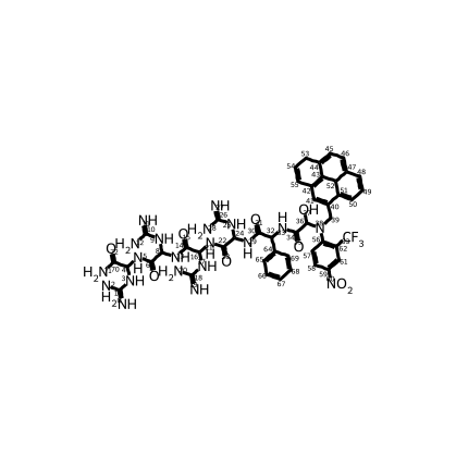 N=C(N)NC(NC(=O)C(NC(=N)N)NC(=O)C(NC(=N)N)NC(=O)C(NC(=N)N)NC(=O)C(NC(=O)C(O)N(CC1=CC2=C3C(=CC=C4C=CC=C1C43)CC=C2)c1ccc([N+](=O)[O-])cc1C(F)(F)F)c1ccccc1)C(N)=O